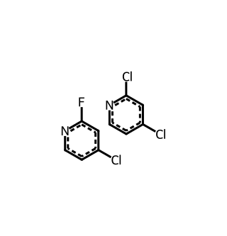 Clc1ccnc(Cl)c1.Fc1cc(Cl)ccn1